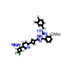 COc1cccc2c1nc(NCc1ccc(C)c(C)c1)n1nc(C3CC(c4ccc(C5(N=[N+]=[N-])CC(F)(F)C5)cn4)C3)nc21